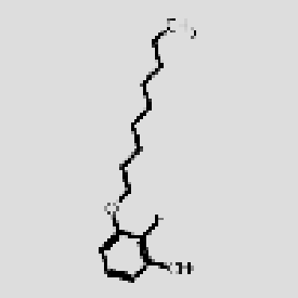 [CH]c1cccc(OCCCCCCCCC)c1F